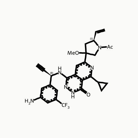 C#C[C@@H](Nc1n[nH]c(=O)c2c(C3CC3)nc(C3(OC)C[C@@H](C=C)N(C(C)=O)C3)cc12)c1cc(N)cc(C(F)(F)F)c1